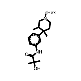 CCCCCCN1CCC(C)(c2cccc(NC(=O)C(C)(C)O)c2)C(C)C1